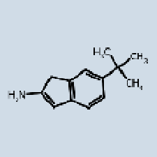 CC(C)(C)c1ccc2c(c1)CC(N)=C2